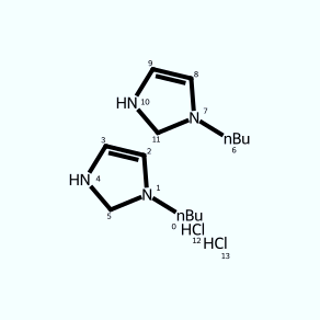 CCCCN1C=CNC1.CCCCN1C=CNC1.Cl.Cl